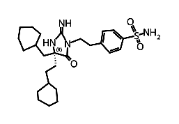 N=C1N[C@](CCC2CCCCC2)(CC2CCCCC2)C(=O)N1CCc1ccc(S(N)(=O)=O)cc1